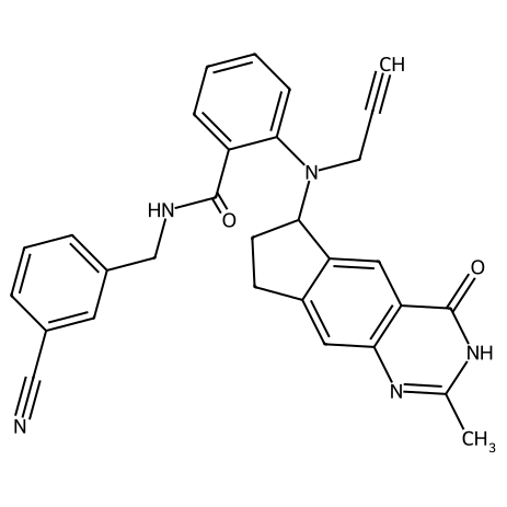 C#CCN(c1ccccc1C(=O)NCc1cccc(C#N)c1)C1CCc2cc3nc(C)[nH]c(=O)c3cc21